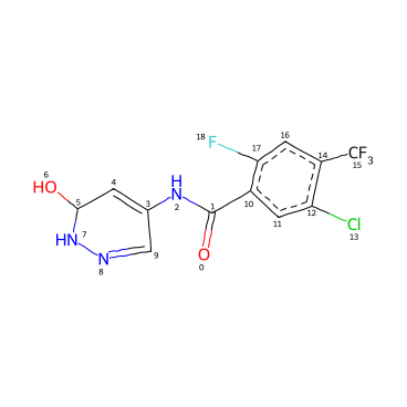 O=C(NC1=CC(O)NN=C1)c1cc(Cl)c(C(F)(F)F)cc1F